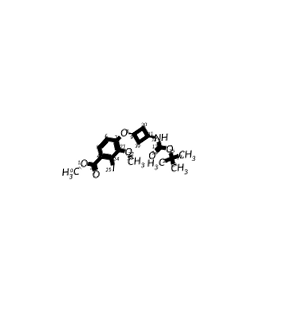 COC(=O)c1ccc(O[C@H]2C[C@H](NC(=O)OC(C)(C)C)C2)c(OC)c1I